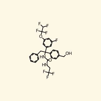 O=C(NCC(F)(F)F)NC(Cc1ccccc1)(c1ccc(CO)cc1)c1cc(F)cc(OC(F)(F)C(F)F)c1